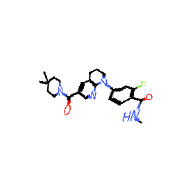 CNC(=O)c1ccc(N2CCCc3cc(C(=O)N4CCC(C)(C)CC4)cnc32)cc1F